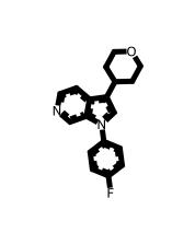 Fc1ccc(-n2cc(C3CCOCC3)c3ccncc32)cc1